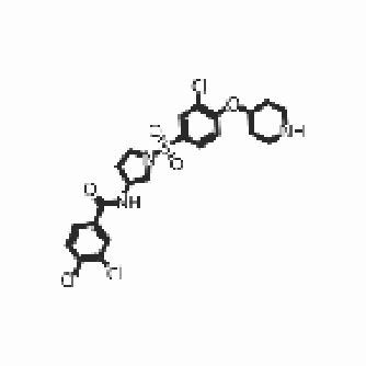 O=C(NC1CCN(S(=O)(=O)c2ccc(OC3CCNCC3)c(Cl)c2)C1)c1ccc(Cl)c(Cl)c1